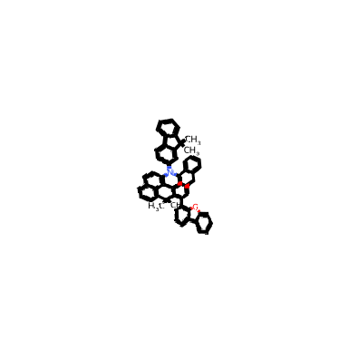 CC1(C)c2ccccc2-c2ccc(N(c3ccc4cccc5c4c3-c3cccc(-c4cccc6c4oc4ccccc46)c3C5(C)C)c3cccc4ccccc34)cc21